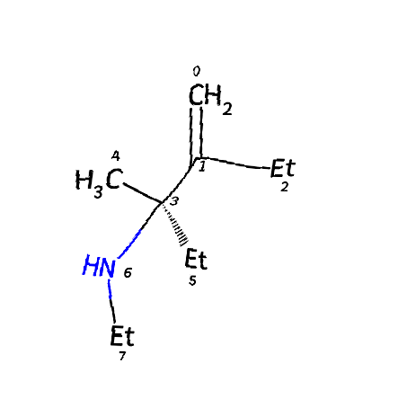 C=C(CC)[C@@](C)(CC)NCC